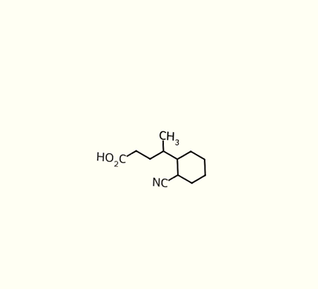 CC(CCC(=O)O)C1CCCCC1C#N